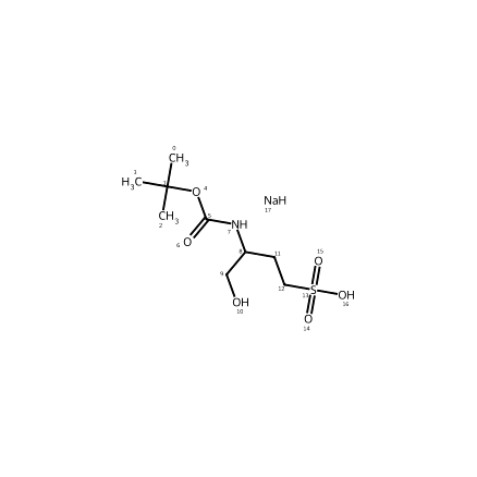 CC(C)(C)OC(=O)NC(CO)CCS(=O)(=O)O.[NaH]